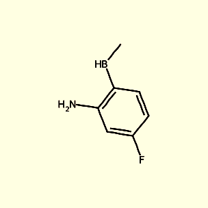 CBc1ccc(F)cc1N